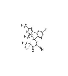 COC1(c2ncc(F)cc2-c2cnc(C)s2)C=C(C#N)C(=O)C(C)(C)C1